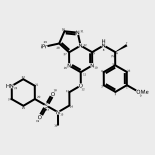 COc1cccc([C@H](C)Nc2nc(OCCN(C)S(=O)(=O)C3CCNCC3)nc3c(C(C)C)cnn23)c1